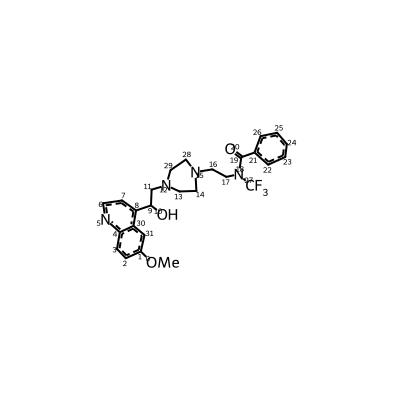 COc1ccc2nccc(C(O)CN3CCN(CCN(C(=O)c4ccccc4)C(F)(F)F)CC3)c2c1